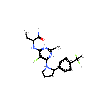 CC(C)(C)CC(Nc1nc(C(F)(F)F)nc(N2CCCC2c2ccc(C(C)(F)F)cc2)c1F)C(N)=O